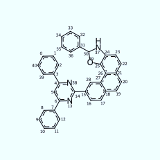 c1ccc(-c2cc(-c3ccccc3)nc(-c3ccc4ccc5ccc6c(c5c4c3)OC(c3ccccc3)N6)n2)cc1